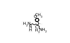 COc1ccc([CH]C(C)(CCN)CCCC(=N)N)cc1